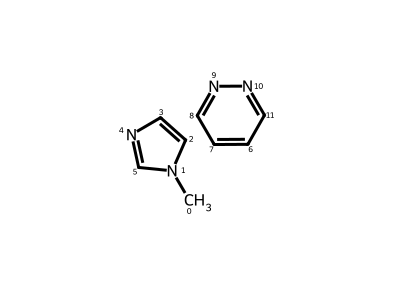 Cn1ccnc1.c1ccnnc1